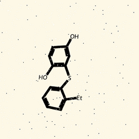 CCc1ccccc1Sc1cc(O)ccc1O